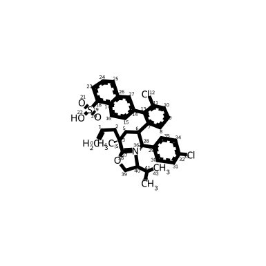 C=CC[C@@]1(C)CC(c2cccc(Cl)c2-c2ccc3c(S(=O)(=O)O)cccc3c2)C(c2ccc(Cl)cc2)[N+]2=C1OCC2C(C)C